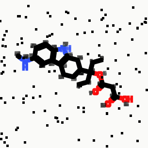 CCC(CC)(OC(=O)CC(=O)O)C1CCc2c([nH]c3ccc(NC)cc23)C1